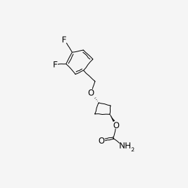 NC(=O)O[C@H]1C[C@H](OCc2ccc(F)c(F)c2)C1